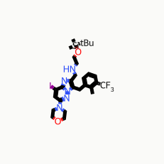 Cc1c(Cc2c(CNCCO[Si](C)(C)C(C)(C)C)nc3c(I)cc(N4CCOCC4)nn23)cccc1C(F)(F)F